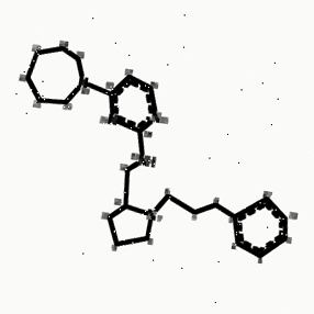 c1ccc(CCCN2CCCC2CNc2nccc(N3CCCCCC3)n2)cc1